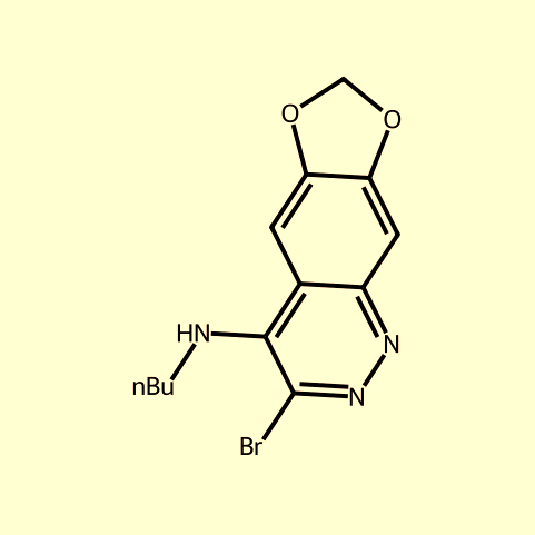 CCCCNc1c(Br)nnc2cc3c(cc12)OCO3